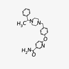 CC(c1ccccc1)N1CCN(Cc2ccc(Oc3ccc(C(N)=O)cn3)cc2)CC1